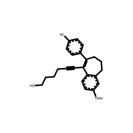 COc1ccc2c(c1)CCCC(c1ccc(C#N)cc1)=C2C#CCCCCO